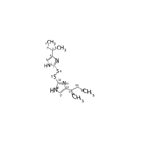 CCC(C)c1c[nH]c(SSc2nc(C(C)CC)c[nH]2)n1